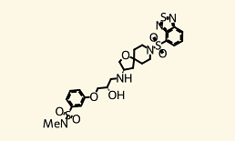 CNS(=O)(=O)c1cccc(OC[C@@H](O)CN[C@@H]2COC3(CCN(S(=O)(=O)c4cccc5nsnc45)CC3)C2)c1